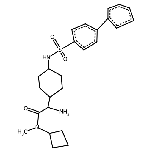 CN(C(=O)C(N)C1CCC(NS(=O)(=O)c2ccc(-c3ccccc3)cc2)CC1)C1CCC1